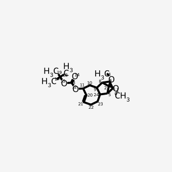 COC1(OC)C2CCC1C1CC(OC(=O)OC(C)(C)C)/C=C/CCC12